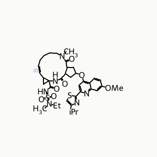 CCN(C)S(=O)(=O)NC(=O)C12CC1/C=C\CCCCN(C)C(=O)C1CC(Oc3cc(-c4nc(C(C)C)cs4)nc4cc(OC)ccc34)CC1C(=O)N2